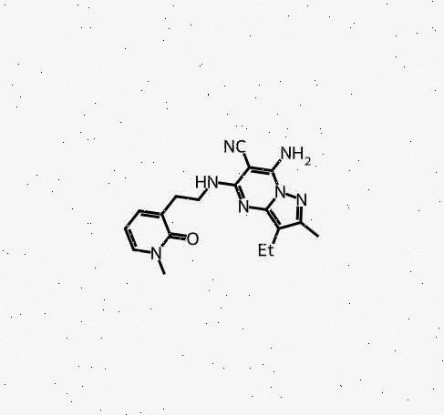 CCc1c(C)nn2c(N)c(C#N)c(NCCc3cccn(C)c3=O)nc12